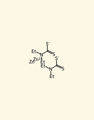 CCN(CC)C(=S)[S-].CCN(CC)C(=S)[S-].[Zn+2].[Zn]